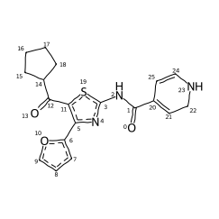 O=C(Nc1nc(-c2ccco2)c(C(=O)C2CCCC2)s1)C1=CCNC=C1